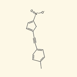 Cc1ccc(C#CC2=CC=C([N+](=O)[O-])C2)cc1